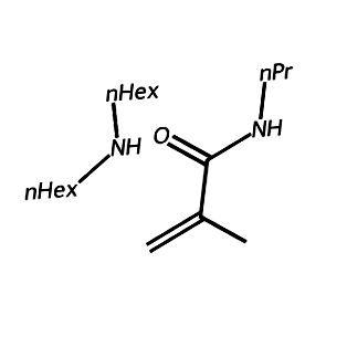 C=C(C)C(=O)NCCC.CCCCCCNCCCCCC